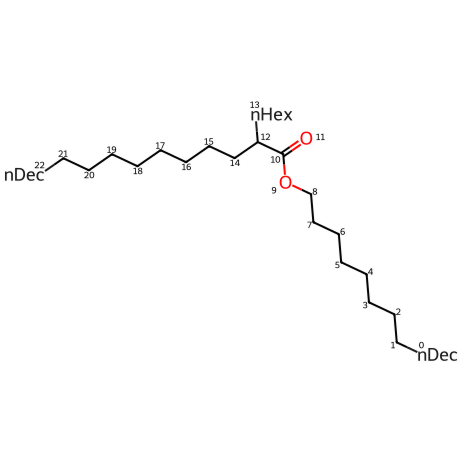 CCCCCCCCCCCCCCCCCCOC(=O)C(CCCCCC)CCCCCCCCCCCCCCCCCC